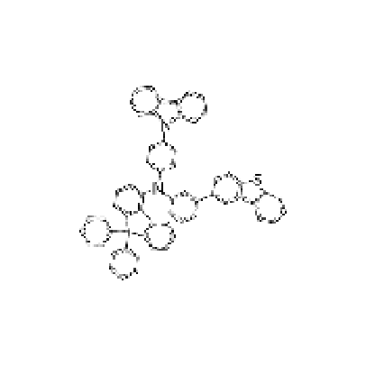 c1ccc(C2(c3ccccc3)c3ccccc3-c3c(N(c4ccc(-n5c6ccccc6c6ccccc65)cc4)c4cccc(-c5ccc6sc7ccccc7c6c5)c4)cccc32)cc1